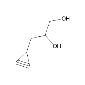 OCC(O)CC1C#C1